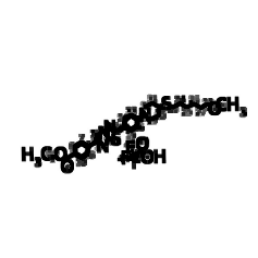 CCOC(=O)c1ccc(-c2cn3nc(-c4ccc(N5CCC(SCCCCCCOC)CC5)cc4)sc3n2)cc1.O=C(O)C(F)(F)F